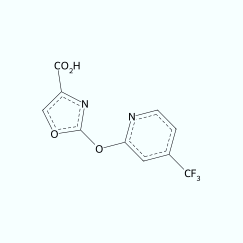 O=C(O)c1coc(Oc2cc(C(F)(F)F)ccn2)n1